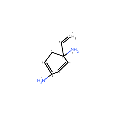 C=CC1(N)C=CC(N)=CC1